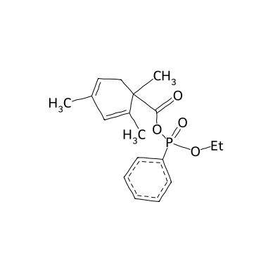 CCOP(=O)(OC(=O)C1(C)CC=C(C)C=C1C)c1ccccc1